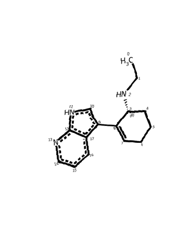 CCN[C@@H]1CCCC=C1c1c[nH]c2ncccc12